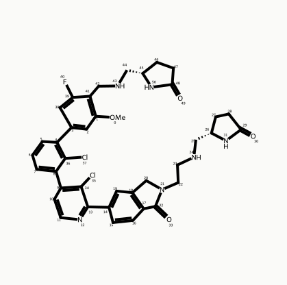 COc1cc(-c2cccc(-c3ccnc(-c4ccc5c(c4)CN(CCNC[C@@H]4CCC(=O)N4)C5=O)c3Cl)c2Cl)cc(F)c1CNC[C@@H]1CCC(=O)N1